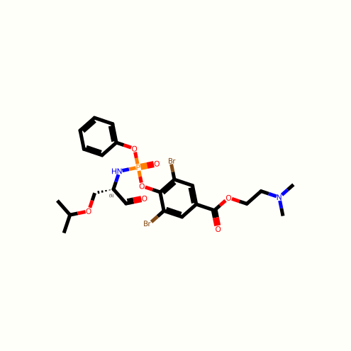 CC(C)OC[C@@H](C=O)NP(=O)(Oc1ccccc1)Oc1c(Br)cc(C(=O)OCCN(C)C)cc1Br